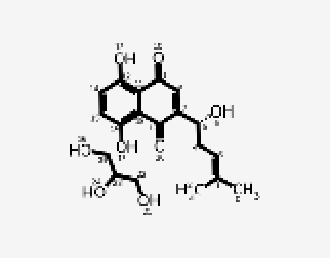 CC(C)=CC[C@@H](O)C1=CC(=O)c2c(O)ccc(O)c2C1=O.OCC(O)CO